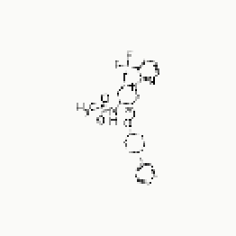 CS(=O)(=O)NC1CCN(c2ncccc2C(F)(F)F)C[C@H]1CO[C@H]1CC[C@@H](c2ccccc2)CC1